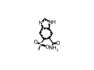 CS(=O)(=O)c1cc2nc[nH]c2cc1C(N)=O